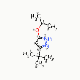 CC(C)Oc1cc(C(C)(C)C)n[nH]1